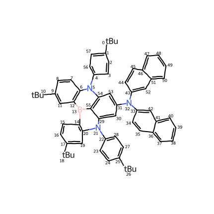 CC(C)(C)c1ccc(N2c3ccc(C(C)(C)C)cc3B3c4ccc(C(C)(C)C)cc4N(c4ccc(C(C)(C)C)cc4)c4cc(N(c5ccc6ccccc6c5)c5ccc6ccccc6c5)cc2c43)cc1